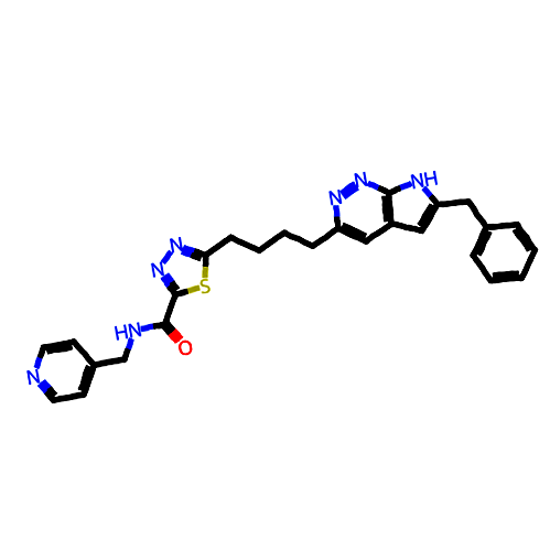 O=C(NCc1ccncc1)c1nnc(CCCCc2cc3cc(Cc4ccccc4)[nH]c3nn2)s1